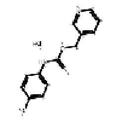 Cl.N#Cc1ccc(NC(=S)OCc2cccnc2)cc1